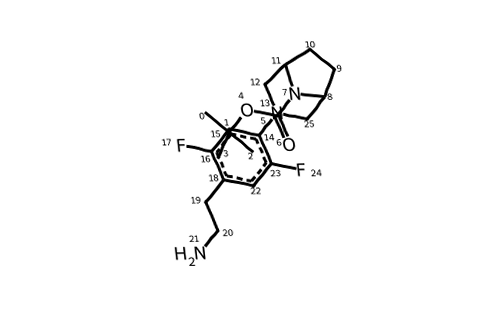 CC(C)(C)OC(=O)N1C2CCC1CN(c1cc(F)c(CCN)cc1F)C2